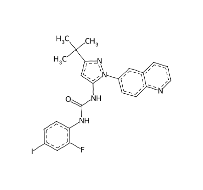 CC(C)(C)c1cc(NC(=O)Nc2ccc(I)cc2F)n(-c2ccc3ncccc3c2)n1